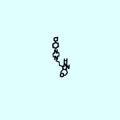 Clc1ccc(N2CCN(CCCc3[nH]nc4c3COCC4)CC2)cc1